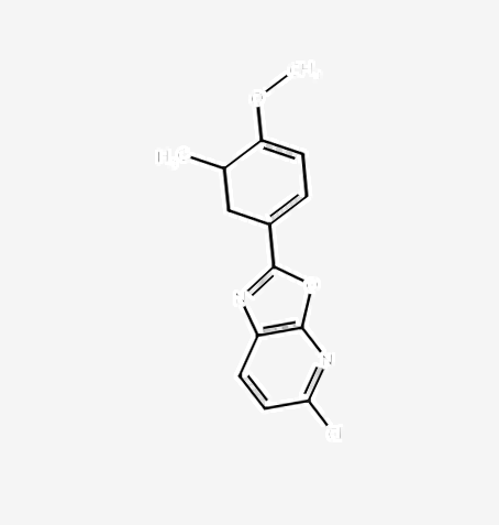 COC1=CC=C(c2nc3ccc(Cl)nc3o2)CC1C